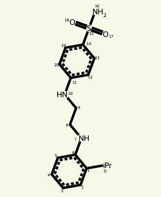 CC(C)c1ccccc1NCCNc1ccc(S(N)(=O)=O)cc1